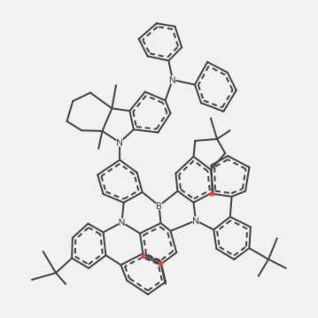 Cc1cc2c3c(c1)N(c1ccc(C(C)(C)C)cc1-c1ccccc1)c1cc4c(cc1B3c1cc(N3c5ccc(N(c6ccccc6)c6ccccc6)cc5C5(C)CCCCC35C)ccc1N2c1ccc(C(C)(C)C)cc1-c1ccccc1)CC(C)(C)C4